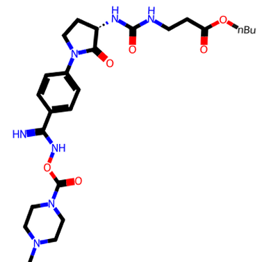 CCCCOC(=O)CCNC(=O)N[C@H]1CCN(c2ccc(C(=N)NOC(=O)N3CCN(C)CC3)cc2)C1=O